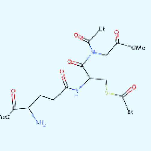 CCC(=O)SCC(NC(=O)CCC(N)C(=O)OC)C(=O)N(CC(=O)OC)C(=O)CC